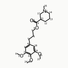 COc1cc(CCCOC(=O)C2CCCN(C)C2)cc(OC)c1OC